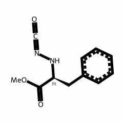 COC(=O)[C@H](Cc1ccccc1)NN=C=O